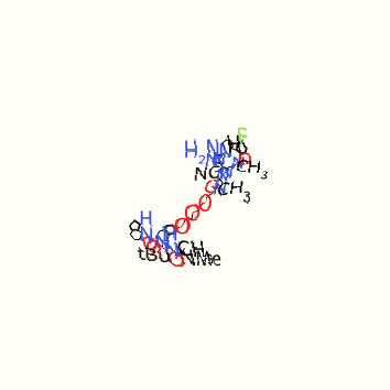 CN[C@@H](C)C(=O)N[C@H](C(=O)N1Cc2cc(OCCOCCOCCC(=O)N(C)CCn3nc4c(c3C#N)-c3cnc(N)c(n3)N3CCC[C@@H]3c3cc(F)ccc3C(=O)N(C)C4)ccc2C[C@H]1C(=O)N[C@@H]1CCCc2ccccc21)C(C)(C)C